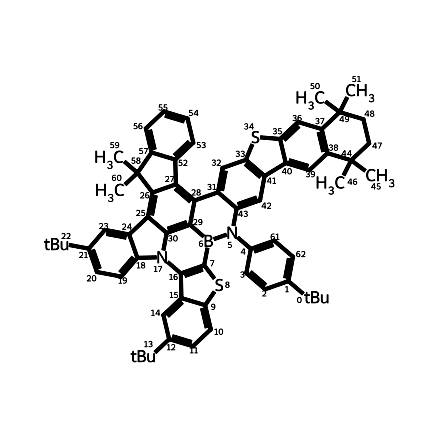 CC(C)(C)c1ccc(N2B3c4sc5ccc(C(C)(C)C)cc5c4-n4c5ccc(C(C)(C)C)cc5c5c6c(c(c3c54)-c3cc4sc5cc7c(cc5c4cc32)C(C)(C)CCC7(C)C)-c2ccccc2C6(C)C)cc1